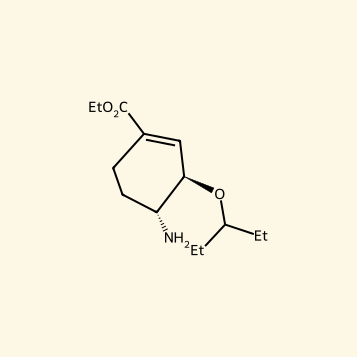 CCOC(=O)C1=C[C@@H](OC(CC)CC)[C@H](N)CC1